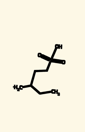 [CH2]C(CC)CCS(=O)(=O)O